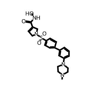 CN1CCN(c2cccc(-c3ccc(S(=O)(=O)N4CC=C(C(=O)NO)C4)cc3)c2)CC1